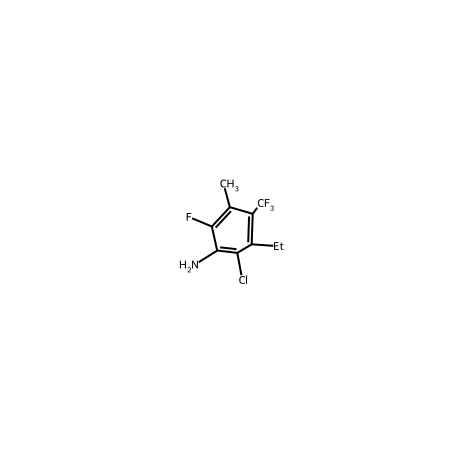 CCc1c(Cl)c(N)c(F)c(C)c1C(F)(F)F